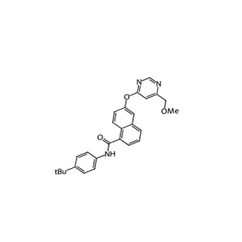 COCc1cc(Oc2ccc3c(C(=O)Nc4ccc(C(C)(C)C)cc4)cccc3c2)ncn1